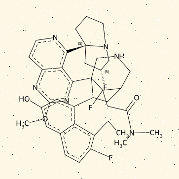 CCc1c(F)ccc2cc(O)cc(C3CC4CNCC3(c3nc(OC)nc5ccnc([C@@]67CCCN6C[C@H](F)C7)c35)C4(F)CC(=O)N(C)C)c12